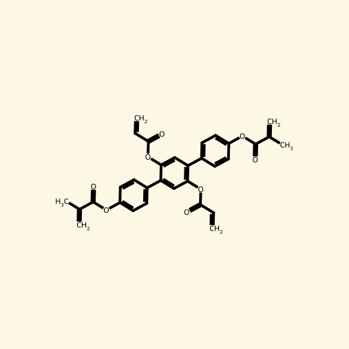 C=CC(=O)Oc1cc(-c2ccc(OC(=O)C(=C)C)cc2)c(OC(=O)C=C)cc1-c1ccc(OC(=O)C(=C)C)cc1